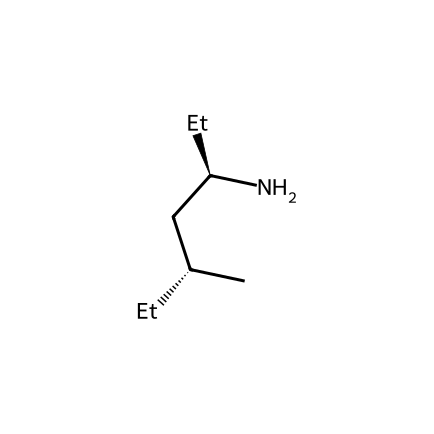 CC[C@@H](C)C[C@H](N)CC